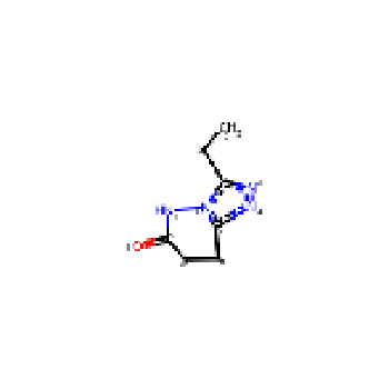 CCc1nnc2n1NC(=O)CC2